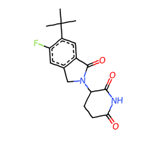 CC(C)(C)c1cc2c(cc1F)CN(C1CCC(=O)NC1=O)C2=O